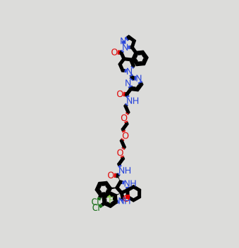 O=C(NCCOCCOCCOCCNC(=O)[C@@H]1NC2(CCCCC2)[C@@]2(C(=O)Nc3cc(Cl)ccc32)[C@H]1c1cccc(Cl)c1F)c1ccnc(N2CCC(C(=O)N3N=CCC3c3ccccc3)CC2)n1